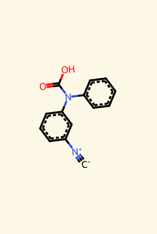 [C-]#[N+]c1cccc(N(C(=O)O)c2ccccc2)c1